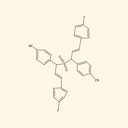 N#Cc1ccc(C(C=Cc2ccc(F)cc2)S(=O)(=O)C(C=Cc2ccc(F)cc2)c2ccc(C#N)cc2)cc1